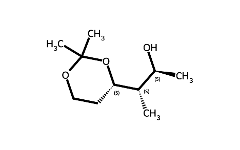 C[C@@H]([C@H](C)O)[C@@H]1CCOC(C)(C)O1